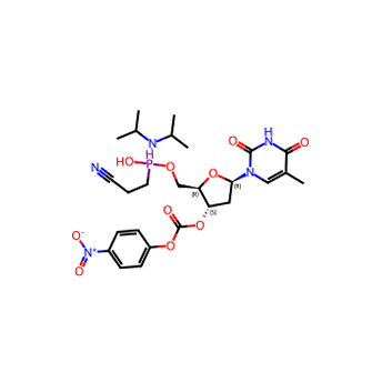 Cc1cn([C@H]2C[C@H](OC(=O)Oc3ccc([N+](=O)[O-])cc3)[C@@H](CO[PH](O)(CCC#N)N(C(C)C)C(C)C)O2)c(=O)[nH]c1=O